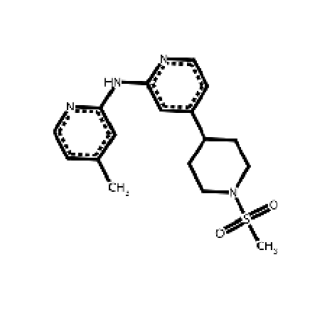 Cc1ccnc(Nc2cc(C3CCN(S(C)(=O)=O)CC3)ccn2)c1